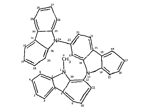 Cn1c2ccccc2c2cccc(-n3c4ccccc4c4ccc(-n5c6ccccc6c6ccccc65)cc43)c21